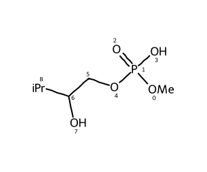 COP(=O)(O)OCC(O)C(C)C